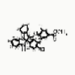 COC(=O)c1cc(F)c(OCC(C2CCCCC2)C2(c3ccc(Cl)cc3)Nc3ccccc3N2)c(F)c1